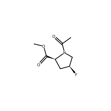 COC(=O)[C@@H]1C[C@H](F)CN1C(C)=O